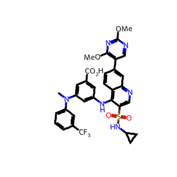 COc1ncc(-c2ccc3c(Nc4cc(C(=O)O)cc(N(C)c5cccc(C(F)(F)F)c5)c4)c(S(=O)(=O)NC4CC4)cnc3c2)c(OC)n1